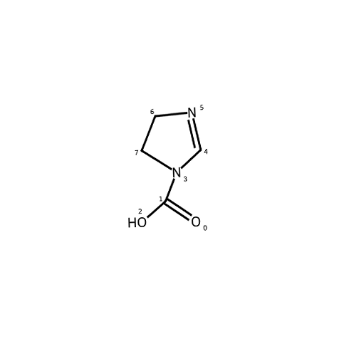 O=C(O)N1C=NCC1